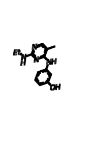 CCNc1ncc(C)c(Nc2cccc(O)c2)n1